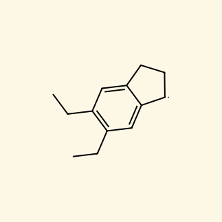 CCc1cc2c(cc1CC)CC[CH]2